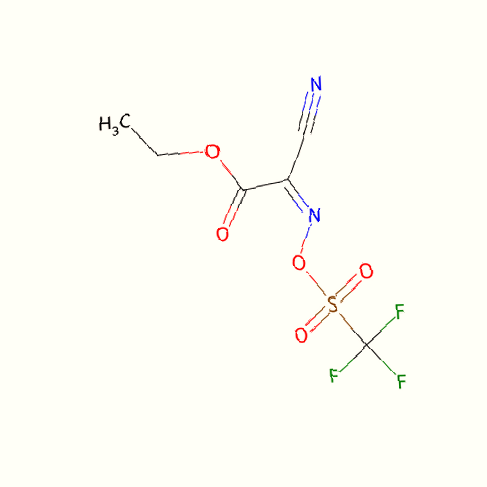 CCOC(=O)/C(C#N)=N\OS(=O)(=O)C(F)(F)F